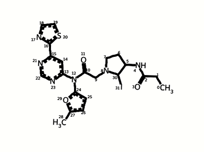 CCC(=O)NC1CCN(CC(=O)N(c2cc(-c3nccs3)ncn2)c2ccc(C)o2)C1I